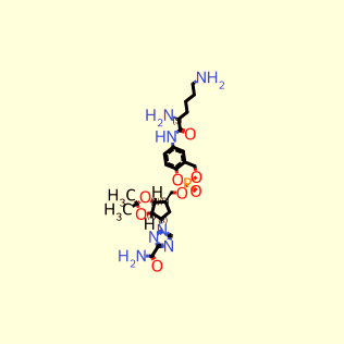 CC1(C)O[C@@H]2[C@@H](COP3(=O)OCc4cc(NC(=O)[C@@H](N)CCCCN)ccc4O3)C[C@@H](n3cnc(C(N)=O)n3)[C@@H]2O1